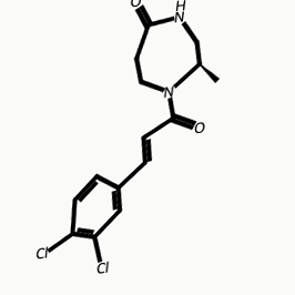 C[C@@H]1CNC(=O)CCN1C(=O)C=Cc1ccc(Cl)c(Cl)c1